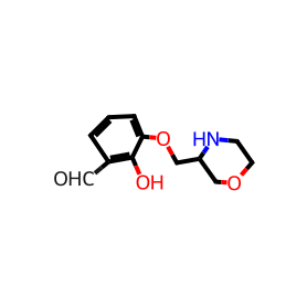 O=Cc1cccc(OCC2COCCN2)c1O